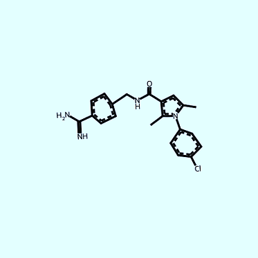 Cc1cc(C(=O)NCc2ccc(C(=N)N)cc2)c(C)n1-c1ccc(Cl)cc1